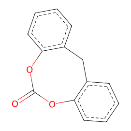 O=C1Oc2ccccc2Cc2ccccc2O1